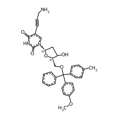 COc1ccc(C(OC[C@H]2O[C@@H](n3cc(C#CCN)c(=O)[nH]c3=O)CC2O)(c2ccccc2)c2ccc(C)cc2)cc1